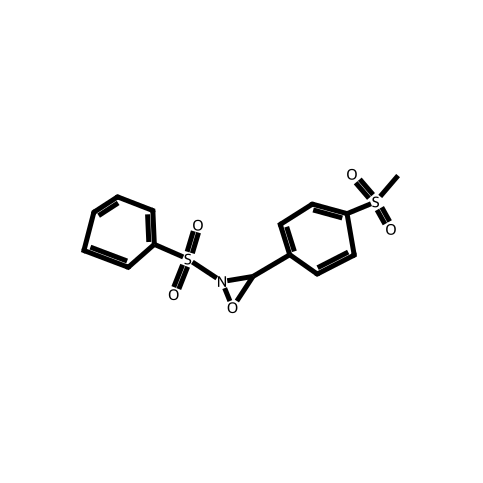 CS(=O)(=O)c1ccc(C2ON2S(=O)(=O)c2ccccc2)cc1